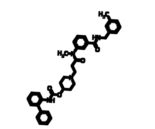 Cc1cccc(CNC(=O)c2cccc(N(C)C(=O)CCN3CCC(OC(=O)Nc4ccccc4-c4ccccc4)CC3)c2)c1